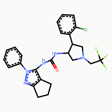 O=C(Nc1c2c(nn1-c1ccccc1)CCC2)NC1CN(CC(F)(F)F)CC1c1ccccc1Cl